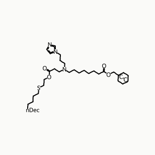 CCCCCCCCCCCCCCSCCOC(=O)CCN(CCCCCCCC(=O)OCC12CCC(CC1)CC2)CCCn1ccnc1